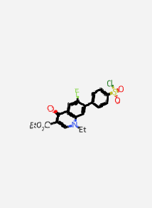 CCOC(=O)c1cn(CC)c2cc(-c3ccc(S(=O)(=O)Cl)cc3)c(F)cc2c1=O